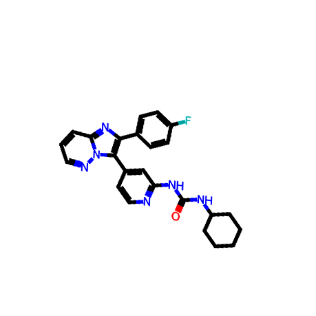 O=C(Nc1cc(-c2c(-c3ccc(F)cc3)nc3cccnn23)ccn1)NC1CCCCC1